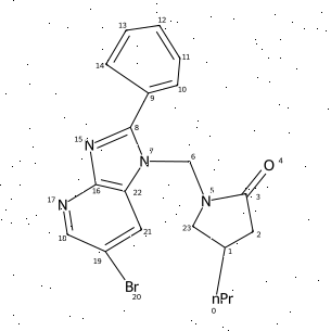 CCCC1CC(=O)N(Cn2c(-c3ccccc3)nc3ncc(Br)cc32)C1